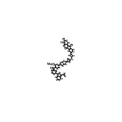 COc1cc(N2CC3CN(C4CN(CC5CN(c6ccc7c(c6)C(=O)N(C6CCC(=O)NC6=O)C7=O)C5)C4)CC3C2)ccc1Nc1nccc(-c2cn(C3CC3)c3ccccc23)n1